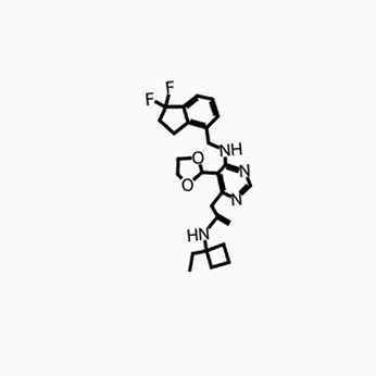 C=C(Cc1ncnc(NCc2cccc3c2CCC3(F)F)c1C1OCCO1)NC1(CC)CCC1